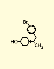 C[C@@H](Cc1ccc(Br)cc1)N1CCC(O)CC1